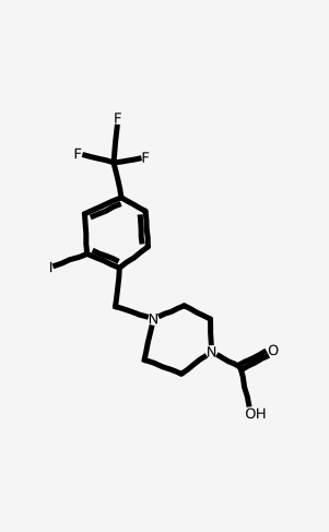 O=C(O)N1CCN(Cc2ccc(C(F)(F)F)cc2I)CC1